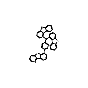 c1ccc2c(c1)sc1cccc(N(c3ccc(-c4cccc5c4sc4cccnc45)cc3)c3cccc4sc5ccccc5c34)c12